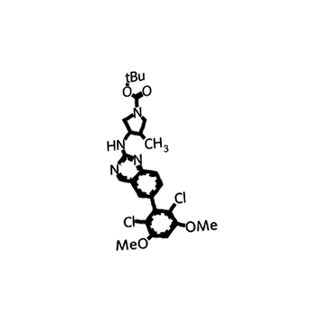 COc1cc(OC)c(Cl)c(-c2ccc3nc(NC4CN(C(=O)OC(C)(C)C)CC4C)ncc3c2)c1Cl